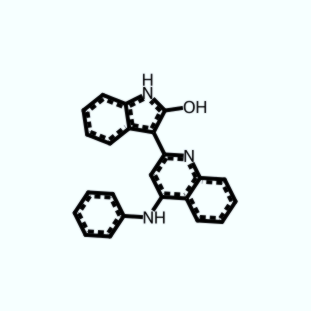 Oc1[nH]c2ccccc2c1-c1cc(Nc2ccccc2)c2ccccc2n1